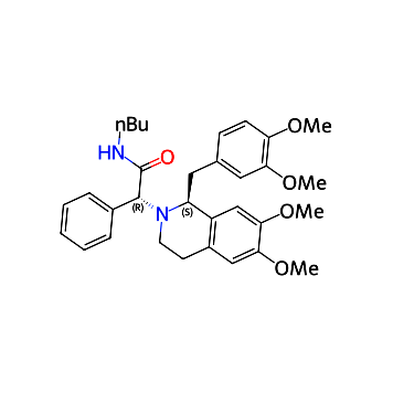 CCCCNC(=O)[C@@H](c1ccccc1)N1CCc2cc(OC)c(OC)cc2[C@@H]1Cc1ccc(OC)c(OC)c1